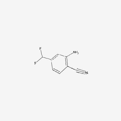 N#Cc1ccc(C(F)F)cc1N